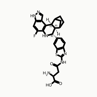 NC(CC(=O)Nc1nc2ccc([C@@H]3Nc4c(F)cc5[nH]ncc5c4[C@H]4C5CCC(C5)[C@@H]34)cc2s1)C(=O)O